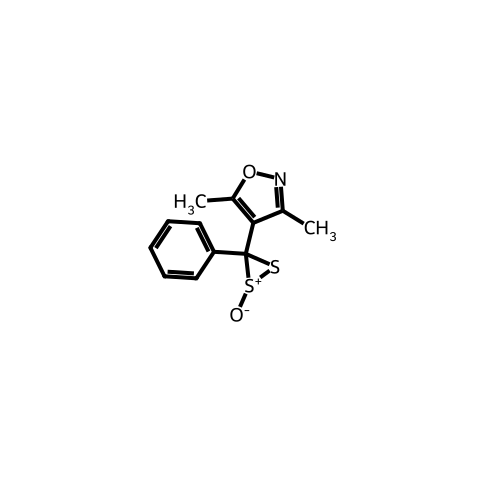 Cc1noc(C)c1C1(c2ccccc2)S[S+]1[O-]